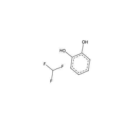 FC(F)F.Oc1ccccc1O